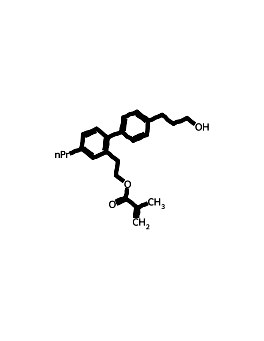 C=C(C)C(=O)OCCc1cc(CCC)ccc1-c1ccc(CCCO)cc1